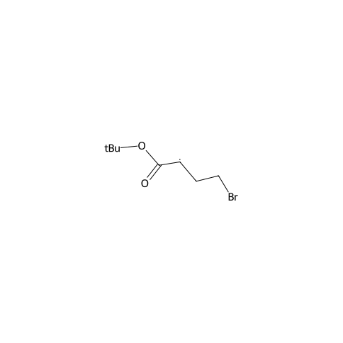 CC(C)(C)OC(=O)[CH]CCBr